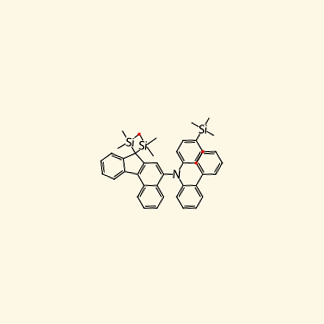 C[Si](C)(C)c1ccc(N(c2ccccc2-c2ccccc2)c2cc3c(c4ccccc24)-c2ccccc2C3([Si](C)(C)C)[Si](C)(C)C)cc1